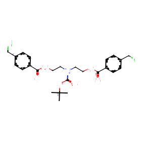 CC(C)(C)OC(=O)N(CCOC(=O)c1ccc(CCl)cc1)CCOC(=O)c1ccc(CCl)cc1